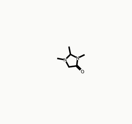 CC1N(C)CC(=O)N1C